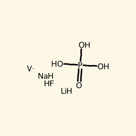 F.O=P(O)(O)O.[LiH].[NaH].[V]